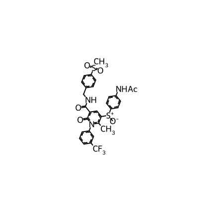 CC(=O)Nc1ccc([S+]([O-])c2cc(C(=O)NCc3ccc(S(C)(=O)=O)cc3)c(=O)n(-c3cccc(C(F)(F)F)c3)c2C)cc1